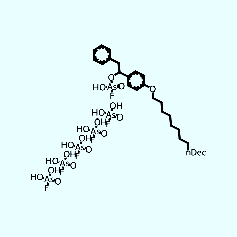 CCCCCCCCCCCCCCCCCCOc1ccc(C(Cc2ccccc2)O[As](=O)(O)F)cc1.O=[As](O)(O)F.O=[As](O)(O)F.O=[As](O)(O)F.O=[As](O)(O)F.O=[As](O)(O)F